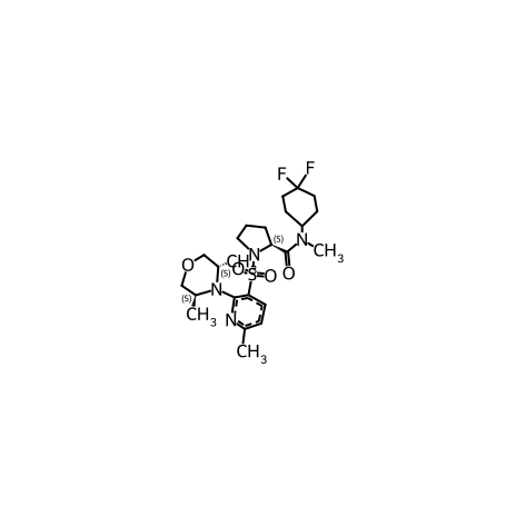 Cc1ccc(S(=O)(=O)N2CCC[C@H]2C(=O)N(C)C2CCC(F)(F)CC2)c(N2[C@@H](C)COC[C@@H]2C)n1